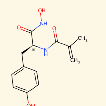 C=C(C)C(=O)N[C@@H](Cc1ccc(O)cc1)C(=O)NO